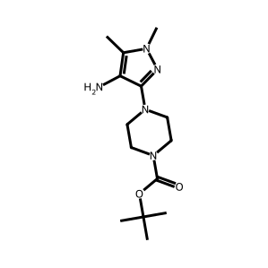 Cc1c(N)c(N2CCN(C(=O)OC(C)(C)C)CC2)nn1C